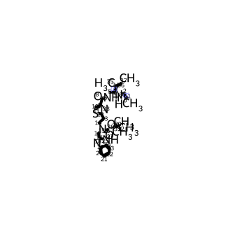 C/C=C\N/C(CNC(=O)c1csc(CCN(Cc2nc3ccccc3[nH]2)C(=O)OC(C)(C)C)n1)=C(/C)CC